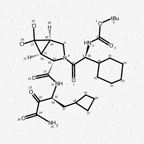 CC(C)(C)OC(=O)N[C@H](C(=O)N1C[C@H]2[C@@H]([C@H]1C(=O)N[C@@H](CC1CCC1)C(=O)C(N)=O)C2(Cl)Cl)C1CCCCC1